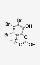 Cc1c(Br)c(Br)c(Br)c(O)c1OC(=O)O